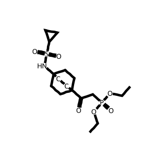 CCOP(=O)(CC(=O)C12CCC(NS(=O)(=O)C3CC3)(CC1)CC2)OCC